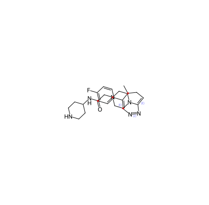 CC1C/C=C(N2CCN(CC(=O)NC3CCNCC3)CC2)/N=N\C=C/1c1ccc(F)cc1